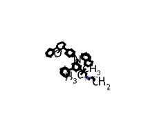 C=C/C=C\CC(C)(C)c1cc(-c2cc#ccc2)cc(N(c2ccc(C3=CC=CC4c5ccccc5OC34)cc2)c2cccc3ccccc23)c1